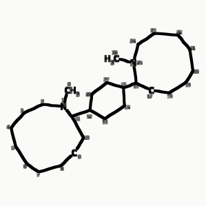 CN1CCCCCCCCCC1C1CCC(C2CCCCCCCCN2C)CC1